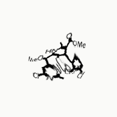 CCOC(=O)C1=C(C(OC)c2cc(Cl)nc(C)n2)NC(C)=C(C(=O)OC)C1c1cccc(Cl)c1Cl